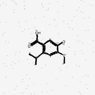 COc1cc(C(C)C)c(C(=O)O)cc1Cl